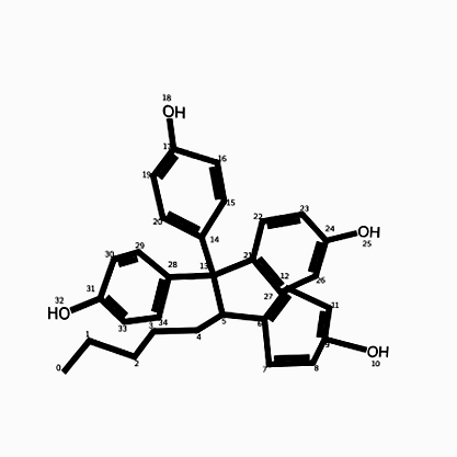 CCCCCC(c1ccc(O)cc1)C(c1ccc(O)cc1)(c1ccc(O)cc1)c1ccc(O)cc1